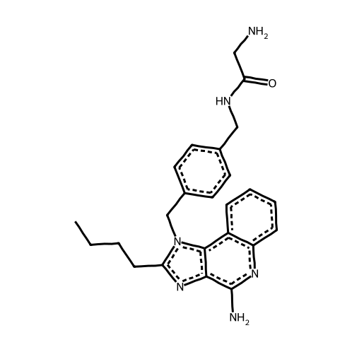 CCCCc1nc2c(N)nc3ccccc3c2n1Cc1ccc(CNC(=O)CN)cc1